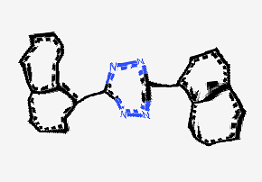 c1ccc2c(-c3nnc(-c4cccc5ccccc45)nn3)cccc2c1